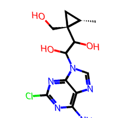 C[C@H]1C[C@@]1(CO)C(O)C(O)n1cnc2c(N)nc(Cl)nc21